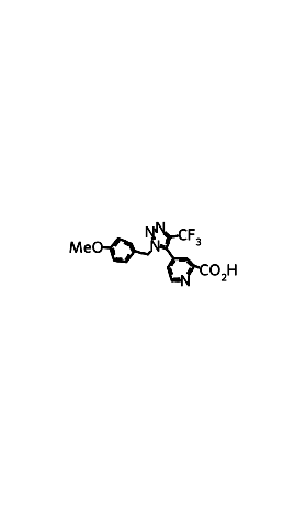 COc1ccc(Cn2nnc(C(F)(F)F)c2-c2ccnc(C(=O)O)c2)cc1